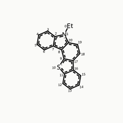 CCn1c2ccccc2c2c3sc4ccccc4c3ccc21